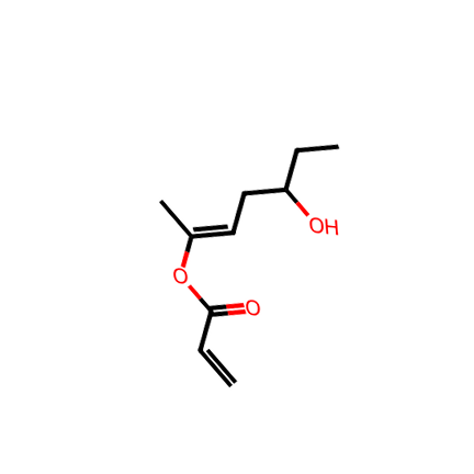 C=CC(=O)OC(C)=CCC(O)CC